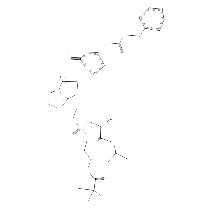 CO[C@]1(COP(=O)(N[C@@H](C)C(=O)OC(C)C)OCCSC(=O)C(C)(C)C)O[C@@H](n2ccc(NC(=O)OCc3ccccc3)nc2=O)[C@H](O)[C@@H]1O